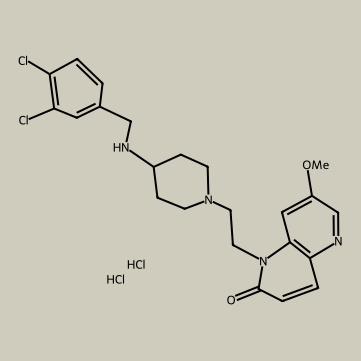 COc1cnc2ccc(=O)n(CCN3CCC(NCc4ccc(Cl)c(Cl)c4)CC3)c2c1.Cl.Cl